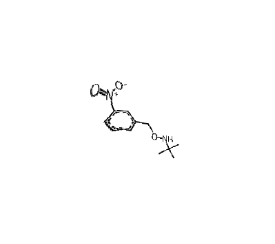 CC(C)(C)NOCc1cccc([N+](=O)[O-])c1